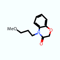 COCCCN1C(=O)COc2ccccc21